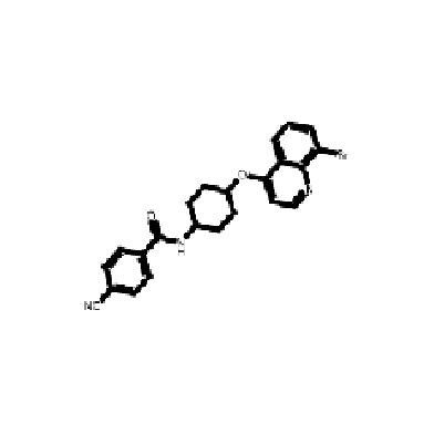 N#Cc1ccc(C(=O)NC2CCC(Oc3ccnc4c(Br)cccc34)CC2)cc1